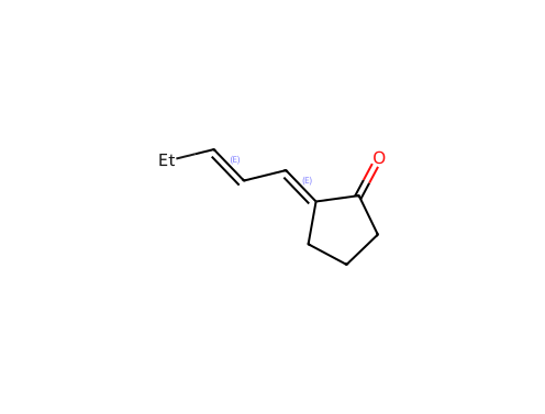 CC/C=C/C=C1\CCCC1=O